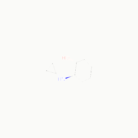 O[C@@H]1CCCC[C@H]1NC1CC1